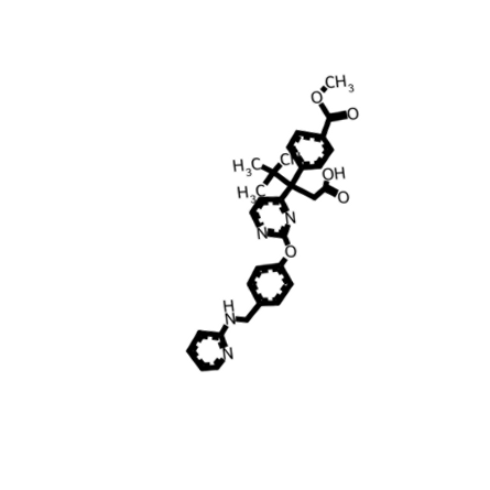 COC(=O)c1ccc(C(CC(=O)O)(c2ccnc(Oc3ccc(CNc4ccccn4)cc3)n2)C(C)(C)C)cc1